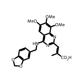 COc1cc2c(NCc3ccc4c(c3)OCO4)nc(C=C(C)C(=O)O)nc2c(OC)c1OC